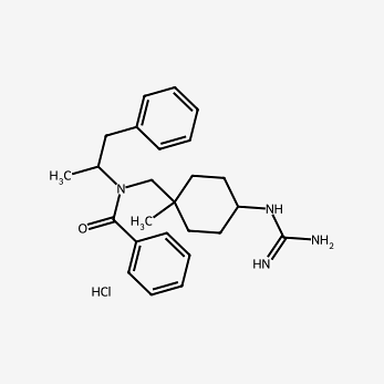 CC(Cc1ccccc1)N(CC1(C)CCC(NC(=N)N)CC1)C(=O)c1ccccc1.Cl